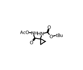 CC(=O)ONC(=O)C1(NC(=O)OC(C)(C)C)CC1